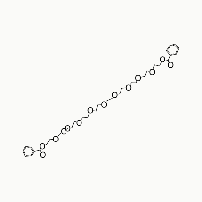 O=C(OCCOCCOCCOCCOCCOCCOCCOCCOCCOCCOC(=O)c1ccccc1)c1ccccc1